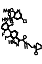 COc1ncc(Cl)cc1S(=O)(=O)Nc1ccc(F)c(-c2ccc3c(C(=O)NCCN4CCCC4=O)n[nH]c3c2F)c1F